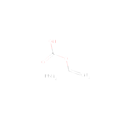 C=COC(=O)O.[PbH2]